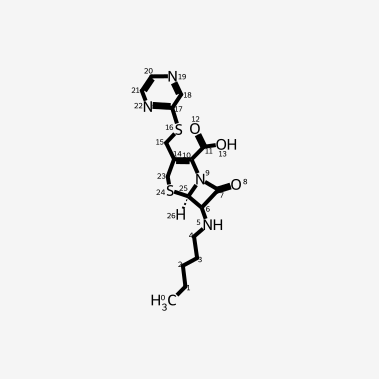 CCCCCNC1C(=O)N2C(C(=O)O)=C(CSc3cnccn3)CS[C@H]12